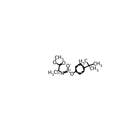 COC(=O)[C@H](C)N=[P+]([O-])Oc1ccc(C(C)(C)C)cc1